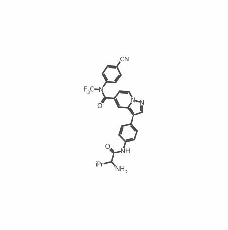 CC(C)C(N)C(=O)Nc1ccc(-c2cnn3ccc(C(=O)N(c4ccc(C#N)cc4)C(F)(F)F)cc23)cc1